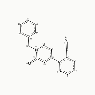 N#Cc1cccnc1-c1ccn(Cc2ccccc2)c(=O)c1